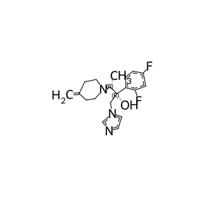 C=C1CCN([C@H](C)[C@](O)(Cn2ccnc2)c2ccc(F)cc2F)CC1